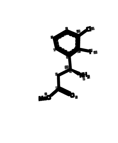 COC(=O)C[C@H](N)c1cccc(Cl)c1F